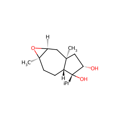 CC(C)[C@@]1(O)[C@@H]2CC[C@@]3(C)O[C@H]3C[C@@]2(C)C[C@@H]1O